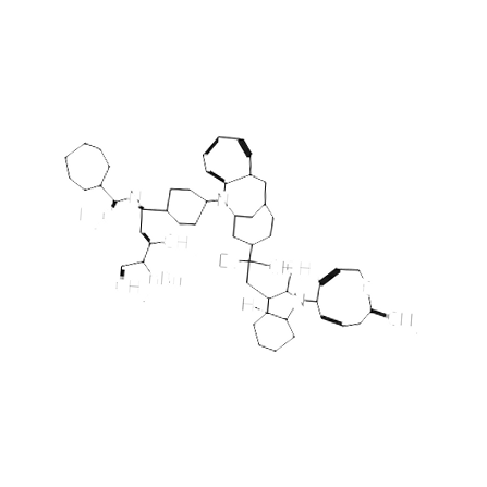 C=CC(CCCC)/C(C)=C/C(=N\C(=C)C1CCCCCC1)C1CCC(N2C3=CC=CC#CC3CC3CCC(C(C)(CC)CC4C(C)N(C5C#CCCC(=C)C/C=C\5)C5CCCC[C@H]45)CC2C3)CC1